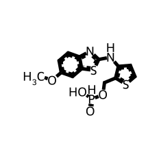 COc1ccc2nc(Nc3ccsc3CO[PH](=O)O)sc2c1